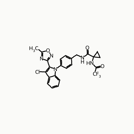 Cc1nc(-c2c(Cl)c3ccccc3n2-c2ccc(CNC(=O)C3(NC(=O)C(F)(F)F)CC3)cc2)no1